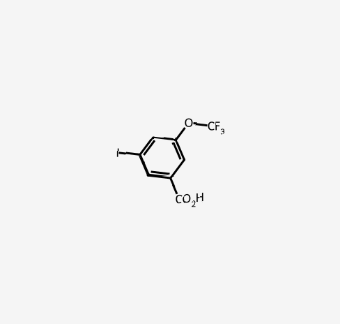 O=C(O)c1cc(I)cc(OC(F)(F)F)c1